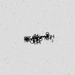 Cn1nnnc1SCC1=C(C(=O)O)N2C(=O)C(NC(=O)CCCC(N)C(=O)O)[C@@H]2SC1